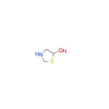 OC1CNCS1